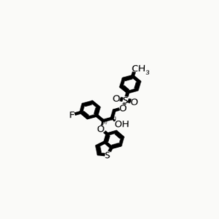 Cc1ccc(S(=O)(=O)OC[C@@H](O)[C@@H](Oc2cccc3sccc23)c2cccc(F)c2)cc1